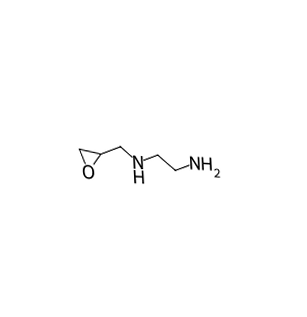 NCCNCC1CO1